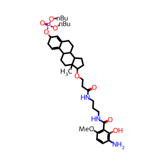 CCCCOP(=O)(OCCCC)OC1C=C2CCC3C(CCC4(C)C(OCCC(=O)NCCCNC(=O)c5c(OC)ccc(N)c5O)CCC34)C2=CC1